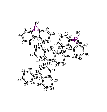 Cp1c2ccccc2c2c(-c3cccc4c(-c5cc(-c6ccccc6)c6ccccc6c5)c5cccc(-c6cccc7c6c6ccccc6p7C)c5cc34)cccc21